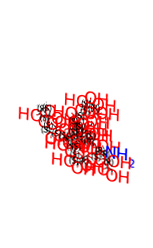 CC1C(O)[C@H](O[C@@H]2OC(CO[C@@H]3C[C@@H](O)[C@@H](N)C([C@H](O)C(O)CO)O3)[C@H](O)C(O)[C@@H]2O)[C@H](CO)O[C@H]1O[C@@H]1C(O)[C@H](O)C(CO)O[C@@H]1OCC1O[C@@H](O[C@@H]2C(CO)O[C@@H](O[C@@H]3C(CO)O[C@@H](C)[C@@H](C)C3O)[C@@H](C)C2O)[C@H](O)C(O[C@H]2O[C@H](CO)[C@@H](O)C(O)C2O[C@@H]2OC(CO)[C@@H](O[C@@H]3OC(CO)[C@H](O)C(O)[C@@H]3O)C(O)[C@@H]2C)[C@@H]1O